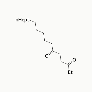 CCCCCCCCCCCCC(=O)CCC(=O)CC